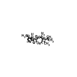 CC[C@H]1CCOC[C@H](NC(=O)c2nccc(OC)c2O)C(=O)O[C@@H](C)[C@@H]1OCC(C)C